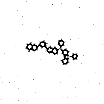 c1ccc(N(c2ccc3ccc(-c4cccc(-c5ccc6ccccc6c5)c4)cc3c2)c2ccc3c(c2)c2ccccc2n3-c2ccccc2)cc1